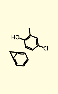 Cc1cc(Cl)ccc1O.c1ccc2c(c1)C2